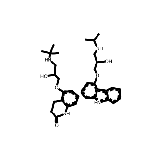 CC(C)(C)NCC(O)COc1cccc2c1CCC(=O)N2.CC(C)NCC(O)COc1cccc2[nH]c3ccccc3c12